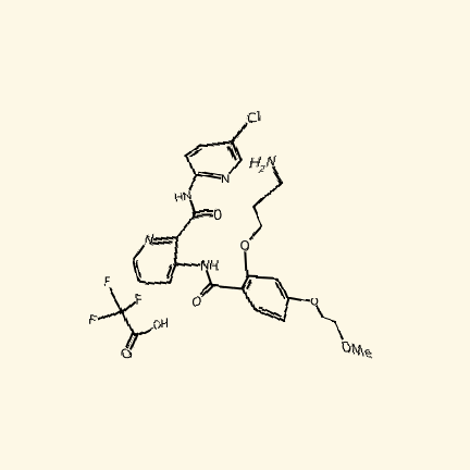 COCCOc1ccc(C(=O)Nc2cccnc2C(=O)Nc2ccc(Cl)cn2)c(OCCCN)c1.O=C(O)C(F)(F)F